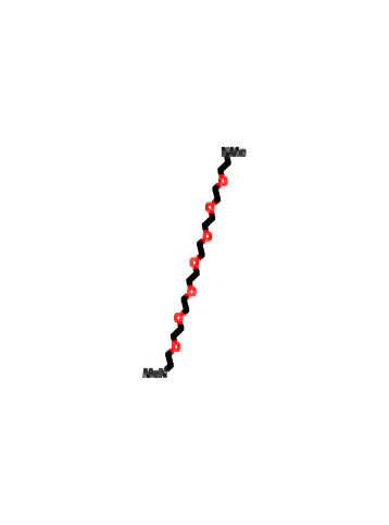 CNCCOCCOCCOCCOCCOCCOCCOCCNC